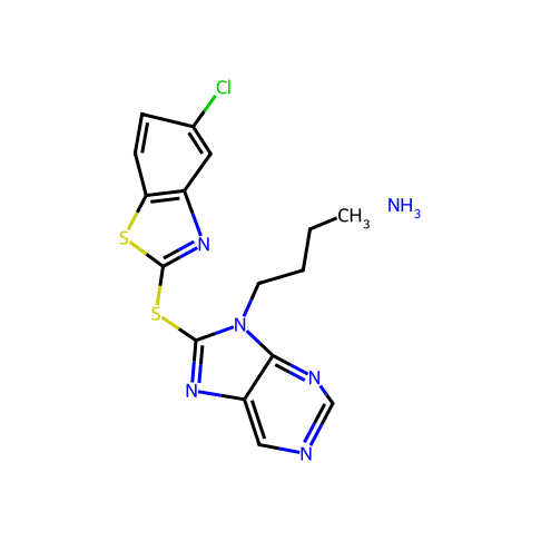 CCCCn1c(Sc2nc3cc(Cl)ccc3s2)nc2cncnc21.N